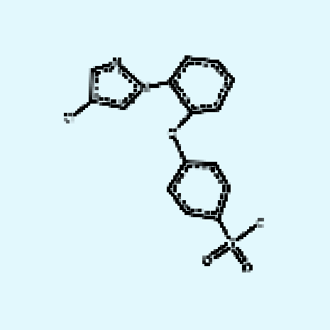 O=S(=O)(Cl)c1ccc(Oc2ccccc2-n2cc(Cl)cn2)cc1